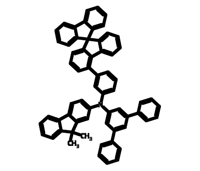 CC1(C)c2ccccc2-c2ccc(N(c3cc(-c4ccccc4)cc(-c4ccccc4)c3)c3cccc(-c4cccc5c4-c4ccccc4C54c5ccccc5-c5ccccc54)c3)cc21